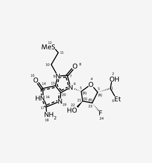 CCC(O)[C@H]1O[C@@H](n2c(=O)n(CCSC)c3c(=O)[nH]c(N)nc32)[C@H](O)[C@H]1F